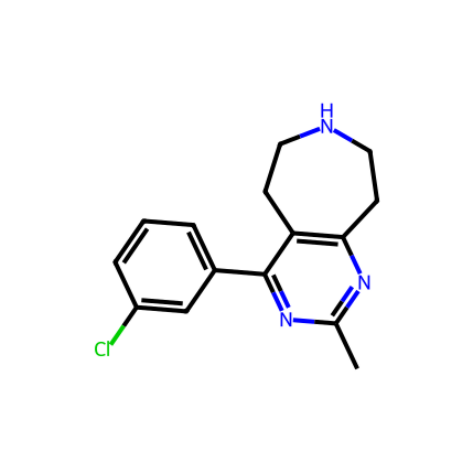 Cc1nc2c(c(-c3cccc(Cl)c3)n1)CCNCC2